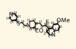 COc1ccc2nccc([C@@H](F)CC[C@@H]3CCN(CCSc4ccncc4)C[C@@H]3C(=O)O)c2c1